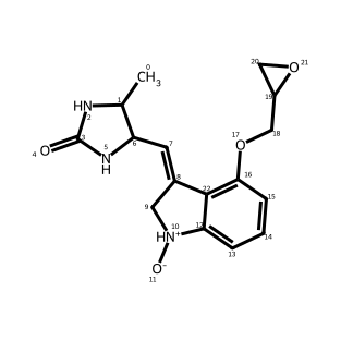 CC1NC(=O)NC1C=C1C[NH+]([O-])c2cccc(OCC3CO3)c21